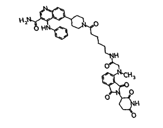 CN(CC(=O)NCCCCCC(=O)N1CCC(c2ccc3ncc(C(N)=O)c(Nc4ccccc4)c3c2)CC1)c1cccc2c1C(=O)N(C1CCC(=O)NC1=O)C2=O